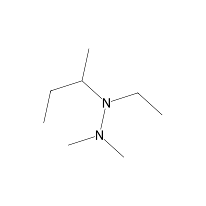 CCC(C)N(CC)N(C)C